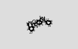 OC(CF)(c1ccc2c(cnn2-c2ccccc2)c1)c1nccc2ccccc12